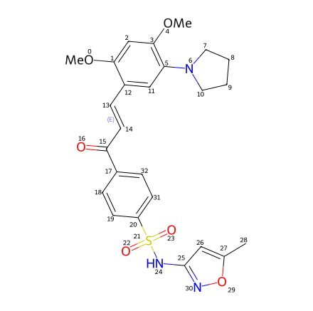 COc1cc(OC)c(N2CCCC2)cc1/C=C/C(=O)c1ccc(S(=O)(=O)Nc2cc(C)on2)cc1